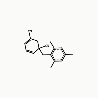 Cc1cc(C)c(CC2(C#N)C=CC=C(C#N)C2)c(C)c1